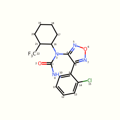 NC(=O)N(c1nonc1-c1ccccc1Cl)C1CCCCC1C(F)(F)F